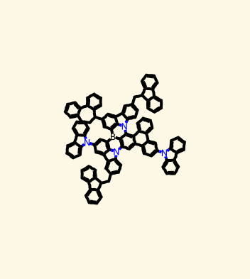 c1ccc2c(c1)CCC(c1cc3c4c(c1)c1cc(CC5c6ccccc6-c6ccccc65)ccc1n4-c1c4c(cc5c6ccc(-n7c8ccccc8c8ccccc87)cc6c6ccccc6c15)-n1c5ccc(CC6c7ccccc7-c7ccccc76)cc5c5cc(-n6c7ccccc7c7ccccc76)cc(c51)B43)c1ccccc1-2